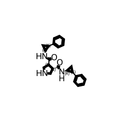 O=C(N[C@@H]1C[C@H]1c1ccccc1)[C@@H]1CNC[C@H]1C(=O)N[C@@H]1C[C@H]1c1ccccc1